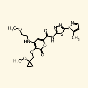 COCCNc1cc(C(=O)Nc2nnc(-n3nccc3C)s2)oc(=O)c1OCC1(OC)CC1